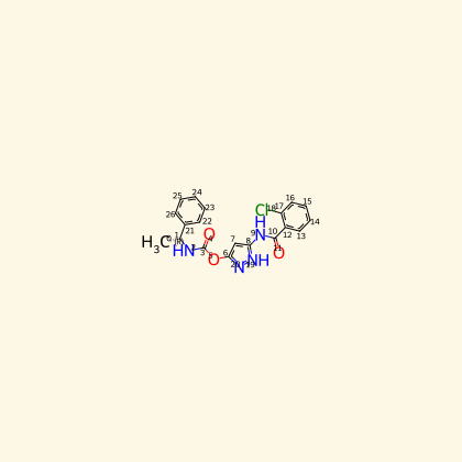 C[C@@H](NC(=O)Oc1cc(NC(=O)c2ccccc2Cl)[nH]n1)c1ccccc1